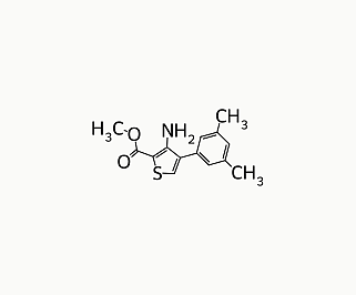 COC(=O)c1scc(-c2cc(C)cc(C)c2)c1N